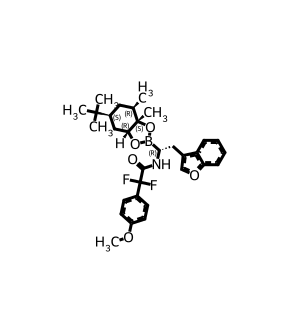 COc1ccc(C(F)(F)C(=O)N[C@@H](Cc2coc3ccccc23)B2O[C@@H]3C[C@@H](C(C)(C)C)C[C@@H](C)[C@]3(C)O2)cc1